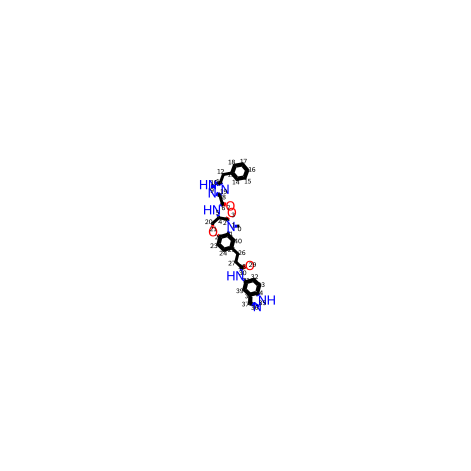 CN1C(=O)C(NC(=O)c2n[nH]c(Cc3ccccc3)n2)COc2ccc(CCC(=O)Nc3ccc4[nH]ncc4c3)cc21